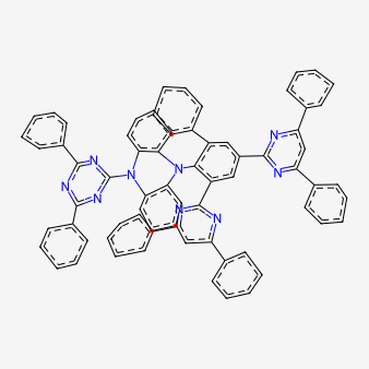 c1ccc(-c2cc(-c3ccccc3)nc(-c3cc(-c4ccccc4)c(N4c5ccccc5N(c5nc(-c6ccccc6)nc(-c6ccccc6)n5)c5ccccc54)c(-c4nc(-c5ccccc5)cc(-c5ccccc5)n4)c3)n2)cc1